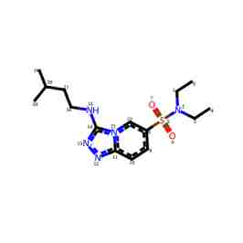 CCN(CC)S(=O)(=O)c1ccc2nnc(NCCC(C)C)n2c1